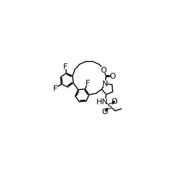 CCS(=O)(=O)NC1CCN2C(=O)OCCCCCc3c(F)cc(F)cc3-c3cccc(c3F)CC12